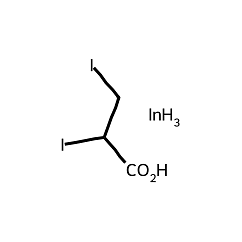 O=C(O)C(I)CI.[InH3]